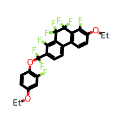 CCOc1ccc(OC(F)(F)c2ccc3c(c2F)C(F)(F)C(F)(F)c2c-3ccc(OCC)c2F)c(F)c1